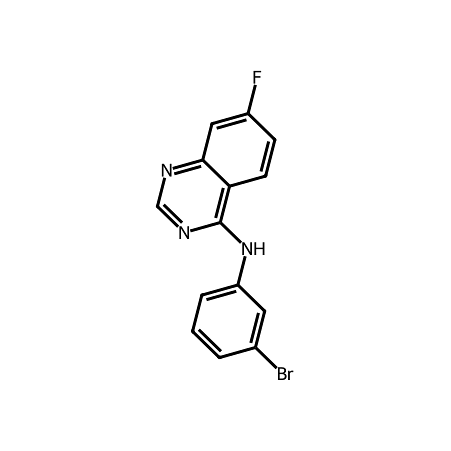 Fc1ccc2c(Nc3cccc(Br)c3)ncnc2c1